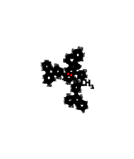 Cc1cc(-c2cc3ccccc3c3ccccc23)ccc1N(c1ccc(-c2ccc(-c3ccccc3)c(-c3ccccc3)c2)cc1)c1ccccc1-c1cccc2c1oc1c3ccccc3ccc21